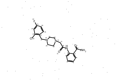 NC(=O)c1ccccc1NC(=O)CN1CCN(Cc2ccc(F)cc2Cl)CC1